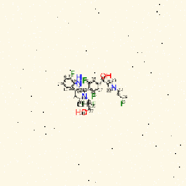 C[C@H]1Cc2c([nH]c3c(F)cccc23)[C@H](c2c(F)cc([C@H](O)C3CN(CCCF)C3)cc2F)N1CC(F)(F)CO